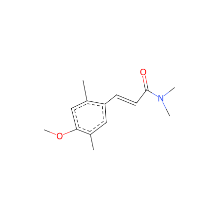 COc1cc(C)c(C=CC(=O)N(C)C)cc1C